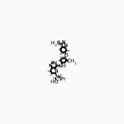 Cc1cc(Nc2ncnc3ccc(N(CO)CC(C)C)nc23)ccc1Oc1ccc2c(c1)nnn2C